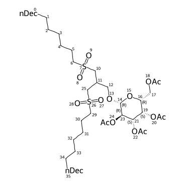 CCCCCCCCCCCCCCCCS(=O)(=O)CC(CO[C@@H]1O[C@H](COC(C)=O)[C@H](OC(C)=O)[C@H](OC(C)=O)[C@H]1OC(C)=O)CS(=O)(=O)CCCCCCCCCCCCCCCC